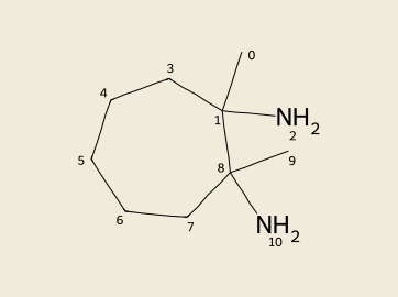 CC1(N)CCCCCC1(C)N